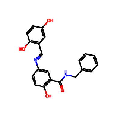 O=C(NCc1ccccc1)c1cc(N=Cc2cc(O)ccc2O)ccc1O